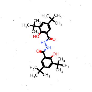 CC(C)(C)c1cc(C(=O)NNC(=O)c2cc(C(C)(C)C)cc(C(C)(C)C)c2O)c(O)c(C(C)(C)C)c1